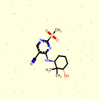 CC1(C)[C@@H](Nc2nc(S(C)(=O)=O)ncc2C#N)CCC[C@@H]1O